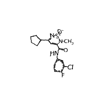 CN1C(C(=O)Nc2ccc(F)c(Cl)c2)=CC(C2CCCC2)=N[S+]1[O-]